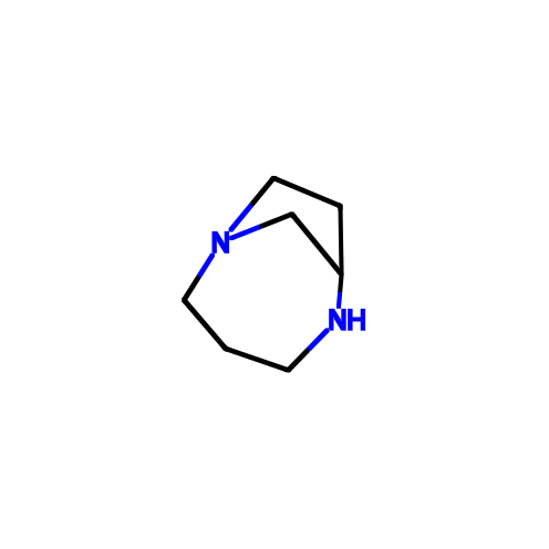 C1CNC2CCN(C1)C2